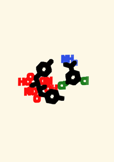 CC(CN)c1cc(Cl)cc(Cl)c1.Cc1ccc(C(=O)C(O)(C(=O)O)C(O)(C(=O)O)C(=O)c2ccc(C)cc2)cc1